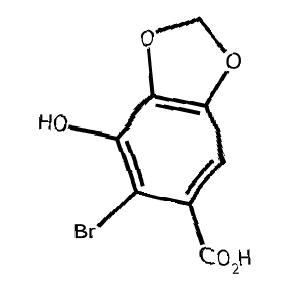 O=C(O)c1cc2c(c(O)c1Br)OCO2